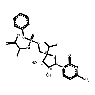 CC(NP(=O)(OC[C@@]1(C(F)F)O[C@@H](n2ccc(N)nc2=O)[C@H](O)[C@@H]1O)Oc1ccccc1)C(=O)O